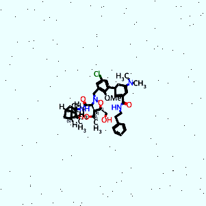 COc1c(CN2O[C@@H](CO)[C@@H]([C@H](C)O)C2C(=O)N[C@H]2C[C@H]3C[C@@H]([C@@H]2C)C3(C)C)cc(Cl)cc1C1C=C(C(=O)NCCc2ccccc2)C=C(N(C)C)C1